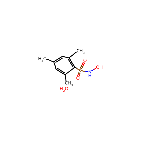 Cc1cc(C)c(S(=O)(=O)NO)c(C)c1.O